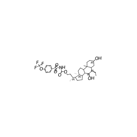 CC[C@@H]1C2C[C@H](O)CCC2(C)C2CC[C@@]3(C)C(CCC3[C@H](C)CCOC(=O)NS(=O)(=O)c3ccc(OC(F)(F)F)cc3)C2[C@@H]1O